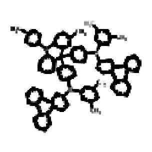 Cc1ccc(N2c3ccccc3C(c3ccc(N(c4cc(C)cc(C)c4)c4ccc5c6ccccc6c6ccccc6c5c4)cc3)(c3ccc(N(c4cc(C)cc(C)c4)c4ccc5c6ccccc6c6ccccc6c5c4)cc3)c3cc(C)ccc32)cc1